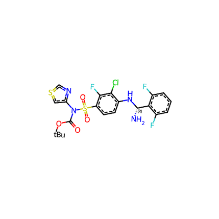 CC(C)(C)OC(=O)N(c1cscn1)S(=O)(=O)c1ccc(N[C@@H](N)c2c(F)cccc2F)c(Cl)c1F